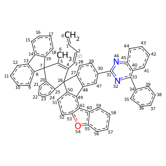 C=C/C=C\C1=C(C)C2(c3ccccc3-c3ccccc32)c2ccccc2C12c1ccc(-c3nc(-c4ccccc4)c4ccccc4n3)cc1-c1c2ccc2oc3ccccc3c12